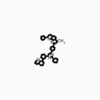 Cc1cc(-c2ccc(-c3cc(-c4cccc(-c5cccc6cccnc56)c4)nc(-c4ccccc4)n3)cc2)nc2c1ccc1ccc(-c3ccccc3)nc12